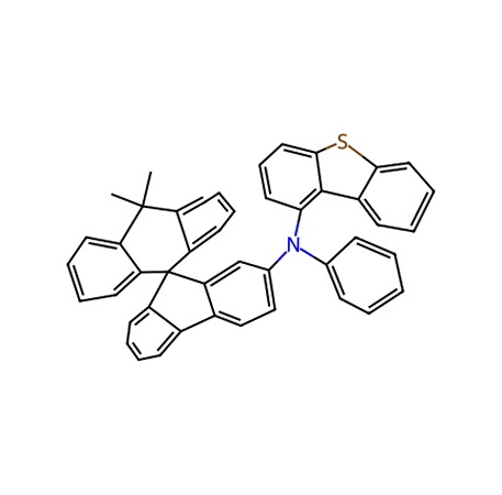 CC1(C)c2ccccc2C2(c3ccccc3-c3ccc(N(c4ccccc4)c4cccc5sc6ccccc6c45)cc32)c2ccccc21